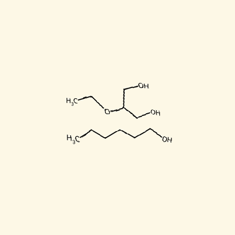 CCCCCCO.CCOC(CO)CO